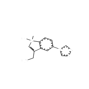 C[N+]1(C)C=C(CN)c2cc(-n3cnnc3)ccc21